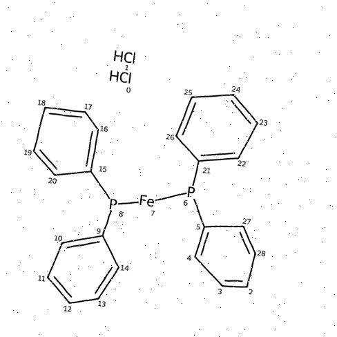 Cl.Cl.c1ccc([P]([Fe][P](c2ccccc2)c2ccccc2)c2ccccc2)cc1